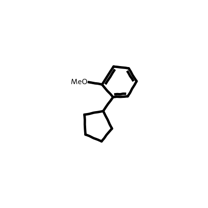 COc1ccccc1C1CCCC1